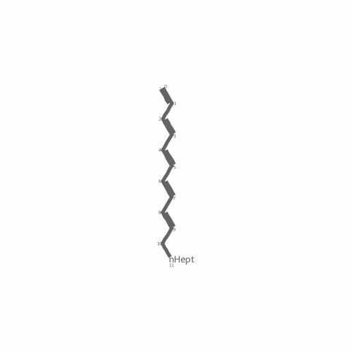 [CH]=CC=CC=CC=CC=CCCCCCCCC